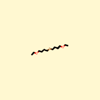 CCOCCCCSCCCCOCC